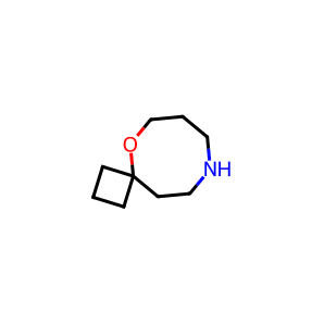 C1CNCCC2(CCC2)OC1